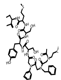 C=C(C)C(CC)NC(=O)C(CCSC)NC(=O)C(CO)NC(=O)C(Cc1ccc(O)cc1)NC(=O)C(CO)NC(=O)CN(C(=O)CN(Cc1ccccc1)C(=O)CN(CCOC)C(C)=O)c1ccccc1